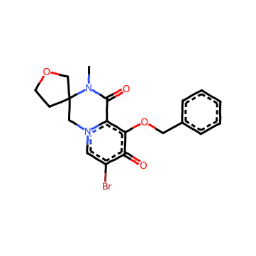 CN1C(=O)c2c(OCc3ccccc3)c(=O)c(Br)cn2CC12CCOC2